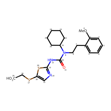 COc1ccccc1CCN(C(=O)Nc1ncc(SCC(=O)O)s1)C1CCCCC1